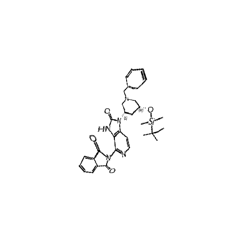 CC(C)(C)[Si](C)(C)O[C@@H]1C[C@H](n2c(=O)[nH]c3c(N4C(=O)c5ccccc5C4=O)nccc32)CN(Cc2ccccc2)C1